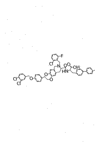 N#Cc1ccc(-c2ccc(CC(NC(=O)C3Cc4cc5c(cc4CN3Cc3c(F)cccc3Cl)OC(c3ccc(OCc4ccc(Cl)c(Cl)c4)cc3)CO5)C(=O)O)cc2)cc1